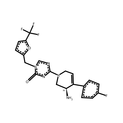 N[C@H]1CN(c2ncn(Cc3ccc(C(F)(F)F)o3)c(=O)n2)CC=C1c1ccc(F)cc1